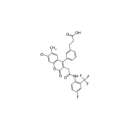 Cc1cc2c(-c3cccc(CCC(=O)O)c3)c(CC(=O)Nc3ccc(F)cc3C(F)(F)F)c(=O)oc2cc1Cl